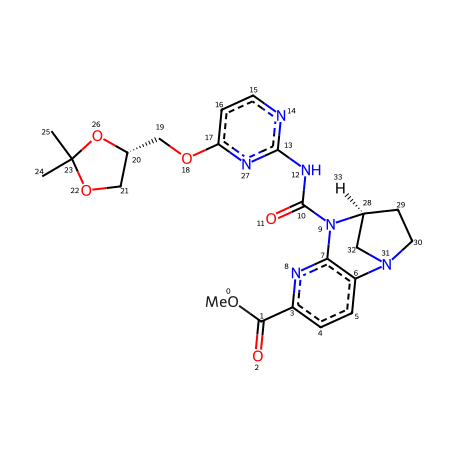 COC(=O)c1ccc2c(n1)N(C(=O)Nc1nccc(OC[C@@H]3COC(C)(C)O3)n1)[C@H]1CCN2C1